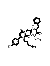 COC(=O)C(Cc1ccccc1)NC(=O)Cn1c(=O)cc(-c2ccc(Cl)cc2)n(CCCC#N)c1=O